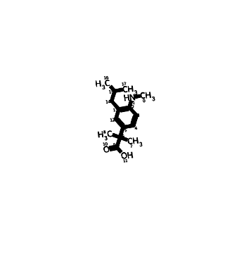 CNc1ccc(C(C)(C)C(=O)O)cc1CC(C)C